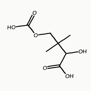 CC(C)(COC(=O)O)C(O)C(=O)O